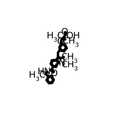 Cc1c(Cc2cccc(OC(C)(C)C(=O)O)c2)c2ccc(C(=O)N[C@H](C)c3ccccc3)cc2n1C